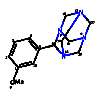 COc1cccc(C2N3CN4CN(C3)CN2C4)c1